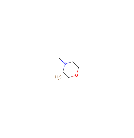 CN1CCOCC1.S